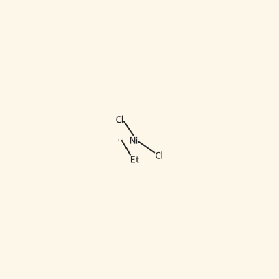 [CH2]CC.[Cl][Ni][Cl]